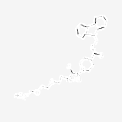 O=C(O)COCCOCCNC(=O)NN1CCC(C(=O)OCC2c3ccccc3-c3ccccc32)CC1